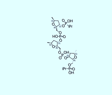 CC(C)P(=O)(O)OC[C@H]1O[C@@H](C)C[C@@H]1OP(=O)(O)OC[C@H]1O[C@@H](C)C[C@@H]1OP(=O)(O)OC[C@H]1O[C@@H](C)C[C@@H]1OP(=O)(O)C(C)C